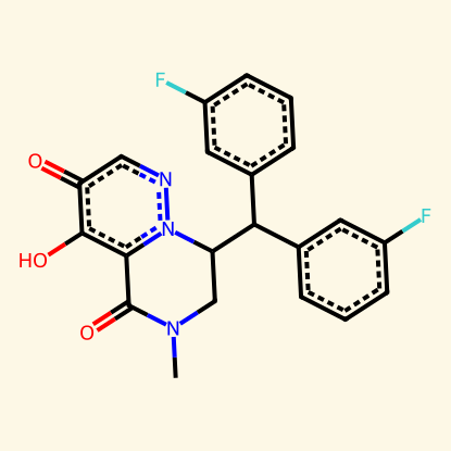 CN1CC(C(c2cccc(F)c2)c2cccc(F)c2)n2ncc(=O)c(O)c2C1=O